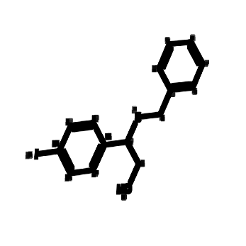 OCC(SCc1ccccc1)c1ccc(I)cc1